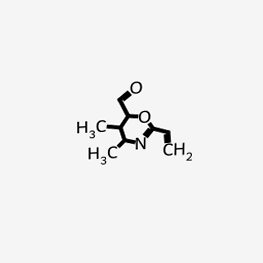 C=CC1=NC(C)C(C)C(C=O)O1